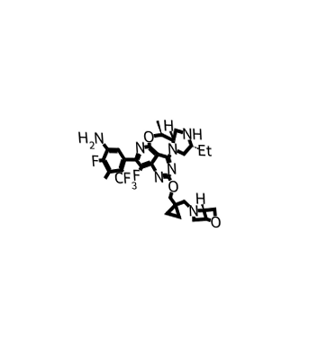 CC[C@@H]1CN2c3nc(OCC4(CN5CC6OC[C@H]65)CC4)nc4c(F)c(-c5cc(N)c(F)c(C)c5C(F)(F)F)nc(c34)O[C@@H](C)[C@@H]2CN1